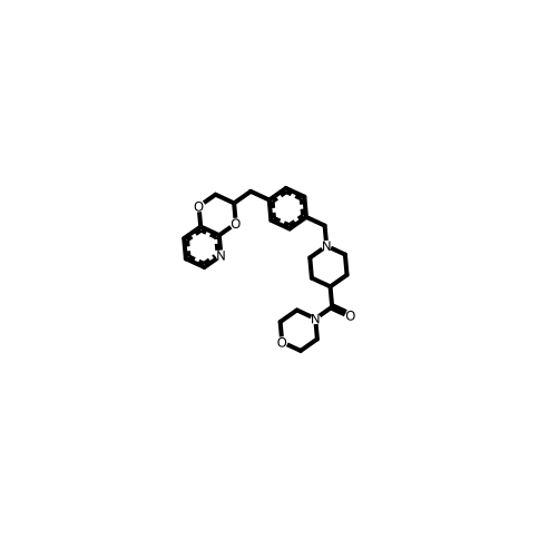 O=C(C1CCN(Cc2ccc(CC3COc4cccnc4O3)cc2)CC1)N1CCOCC1